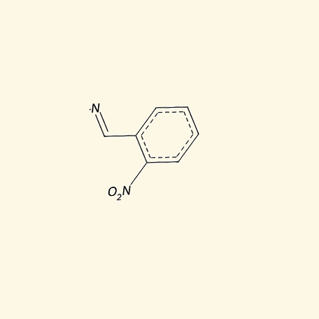 [N]=Cc1ccccc1[N+](=O)[O-]